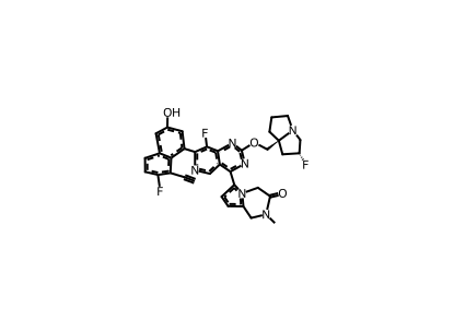 C#Cc1c(F)ccc2cc(O)cc(-c3ncc4c(-c5ccc6n5CC(=O)N(C)C6)nc(OC[C@@]56CCCN5C[C@H](F)C6)nc4c3F)c12